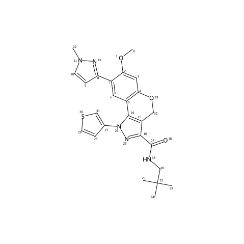 COc1cc2c(cc1-c1ccn(C)n1)-c1c(c(C(=O)NCC(C)(C)C)nn1-c1ccsc1)CO2